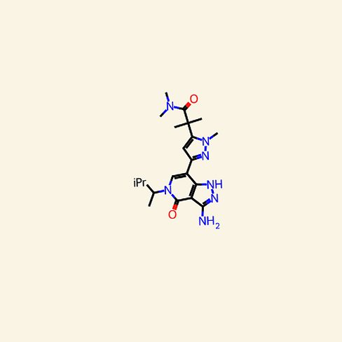 CC(C)C(C)n1cc(-c2cc(C(C)(C)C(=O)N(C)C)n(C)n2)c2[nH]nc(N)c2c1=O